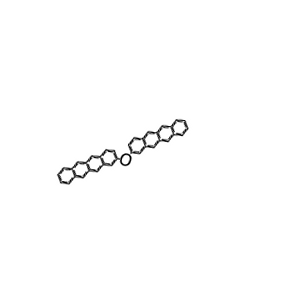 c1ccc2cc3cc4cc(Oc5ccc6cc7cc8ccccc8cc7cc6c5)ccc4cc3cc2c1